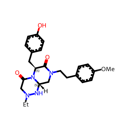 CCN1CC(=O)N2[C@H](CN(CCc3ccc(OC)cc3)C(=O)[C@@H]2Cc2ccc(O)cc2)N1